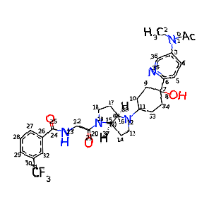 CC(=O)N(C)c1ccc(C2(O)CCC(N3CC[C@@H]4[C@H]3CCN4C(=O)CNC(=O)c3cccc(C(F)(F)F)c3)CC2)nc1